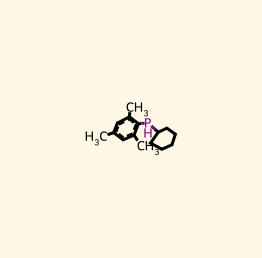 Cc1cc(C)c(PC2CCCCC2)c(C)c1